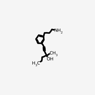 CCCC(C)(O)C#Cc1cccc(CCCN)c1